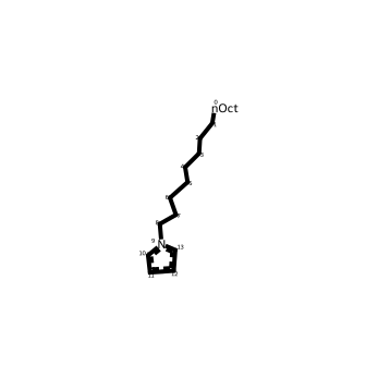 CCCCCCCCCCCCCCCCn1[c]ccc1